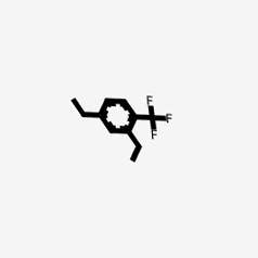 CCc1ccc(C(F)(F)F)c(CC)c1